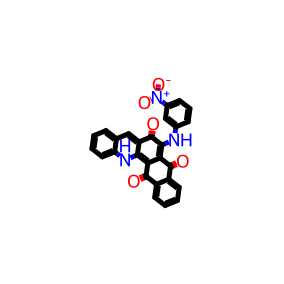 O=C1c2ccccc2C(=O)c2c1c1[nH]c3ccccc3cc-1c(=O)c2Nc1cccc([N+](=O)[O-])c1